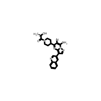 CC(=O)c1c(C2CCN(C(=O)[C@@H](C)O)CC2)nc2c(-c3cnc4ccccc4c3)cnn2c1N